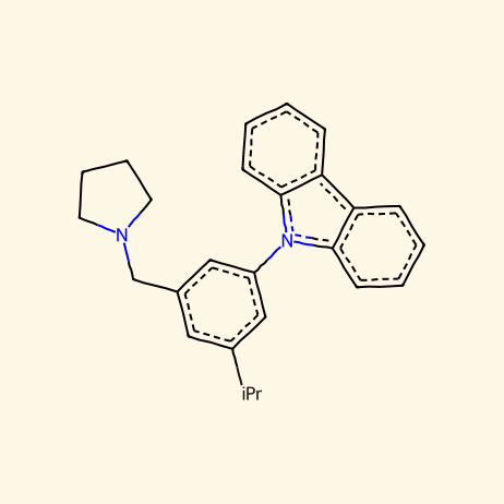 CC(C)c1cc(CN2CCCC2)cc(-n2c3ccccc3c3ccccc32)c1